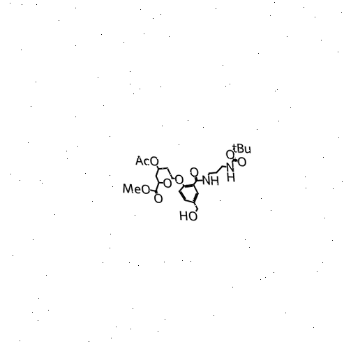 COC(=O)C1CC(OC(C)=O)CC(Oc2ccc(CO)cc2C(=O)NCCCNC(=O)OC(C)(C)C)O1